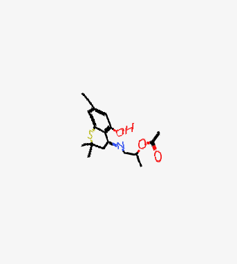 CC(=O)OC(C)CN=C1CC(C)(C)Sc2cc(C)cc(O)c21